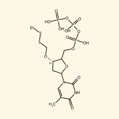 CCSSCO[C@H]1CC(n2cc(C)c(=O)[nH]c2=O)OC1COP(=O)(O)OP(=O)(O)OP(=O)(O)O